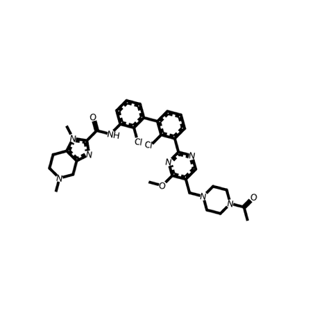 COc1nc(-c2cccc(-c3cccc(NC(=O)c4nc5c(n4C)CCN(C)C5)c3Cl)c2Cl)ncc1CN1CCN(C(C)=O)CC1